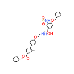 Cc1cc(C(=O)OCc2ccccc2)ccc1-c1ccc(OCCNC[C@H](O)c2ccc(OCc3ccccc3)c(NS(C)(=O)=O)c2)cc1